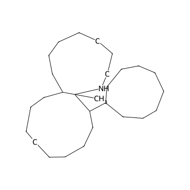 CC12NCCCCCCCC1CCCCCCCCC2C1CCCCCCCC1